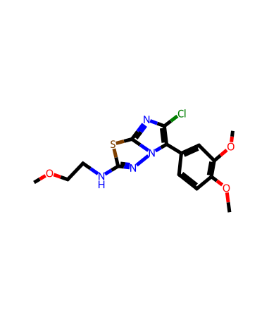 COCCNc1nn2c(-c3ccc(OC)c(OC)c3)c(Cl)nc2s1